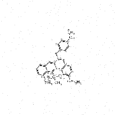 COc1ccc(CN(Cc2ccc(OC)cc2)c2cc3cccc(Cl)c3[c]([Sn]([CH3])([CH3])[CH3])n2)cc1